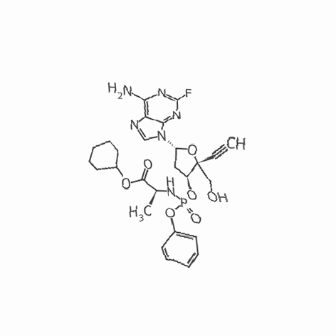 C#C[C@]1(CO)O[C@@H](n2cnc3c(N)nc(F)nc32)C[C@@H]1OP(=O)(N[C@@H](C)C(=O)OC1CCCCC1)Oc1ccccc1